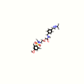 COc1cc(C)c(S(=O)(=O)N(C)CCOCC(=O)N(C)Cc2ccc(CCNC(C)C)cc2)c(C)c1